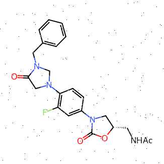 CC(=O)NC[C@H]1CN(c2ccc(N3CC(=O)N(Cc4ccccc4)C3)c(F)c2)C(=O)O1